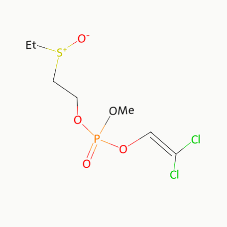 CC[S+]([O-])CCOP(=O)(OC)OC=C(Cl)Cl